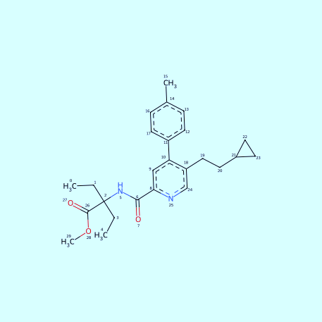 CCC(CC)(NC(=O)c1cc(-c2ccc(C)cc2)c(CCC2CC2)cn1)C(=O)OC